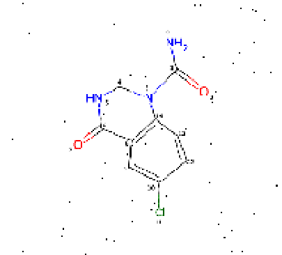 NC(=O)N1CNC(=O)c2cc(Cl)[c]cc21